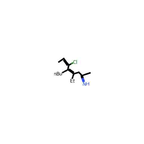 C/C=C(Cl)\C(CCCC)=C(\CC)CC(C)=N